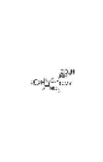 COC(CNC(=O)O)COc1nn(C2CCOCC2)c(C)c1[N+](=O)[O-]